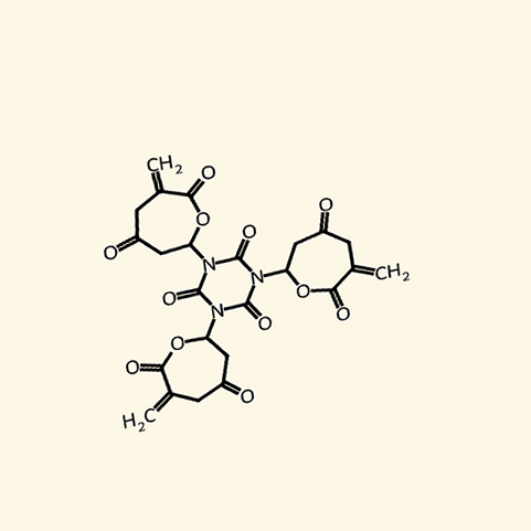 C=C1CC(=O)CC(n2c(=O)n(C3CC(=O)CC(=C)C(=O)O3)c(=O)n(C3CC(=O)CC(=C)C(=O)O3)c2=O)OC1=O